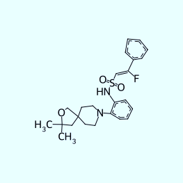 CC1(C)CC2(CCN(c3ccccc3NS(=O)(=O)C=C(F)c3ccccc3)CC2)CO1